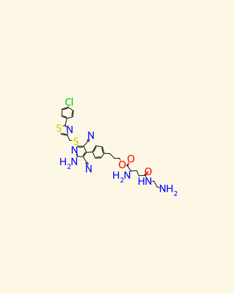 N#Cc1c(N)nc(SCc2csc(-c3ccc(Cl)cc3)n2)c(C#N)c1-c1ccc(CCCOC(=O)[C@@H](N)CCC(=O)NCCN)cc1